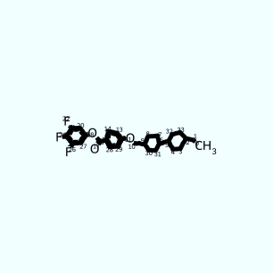 CCC1CCC(C2CCC(COc3ccc(C(=O)Oc4cc(F)c(F)c(F)c4)cc3)CC2)CC1